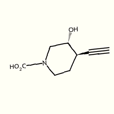 C#C[C@H]1CCN(C(=O)O)C[C@@H]1O